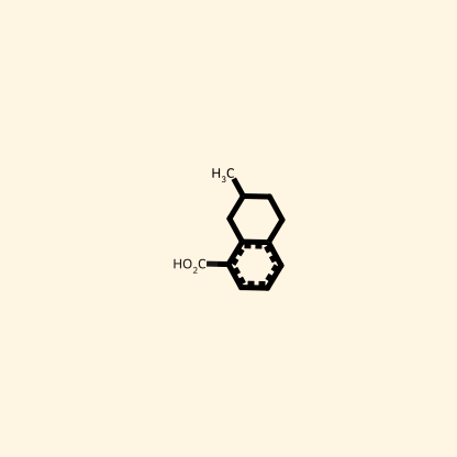 CC1CCc2cccc(C(=O)O)c2C1